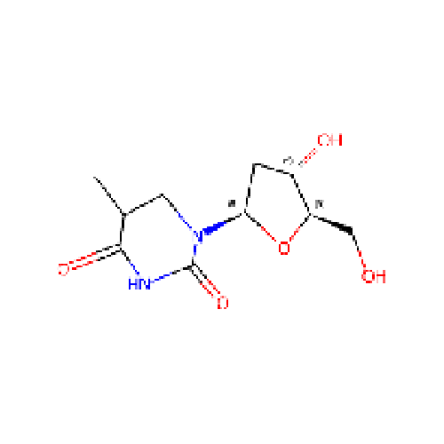 CC1CN([C@H]2C[C@H](O)[C@@H](CO)O2)C(=O)NC1=O